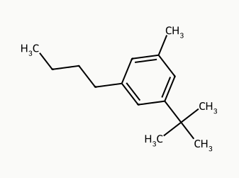 CCCCc1cc(C)cc(C(C)(C)C)c1